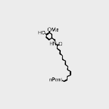 CCCCC/C=C\C/C=C\CCCCCCCCCC(=O)NCc1ccc(O)c(OC)c1